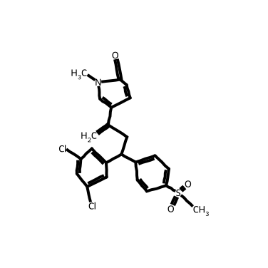 C=C(CC(c1ccc(S(C)(=O)=O)cc1)c1cc(Cl)cc(Cl)c1)c1ccc(=O)n(C)c1